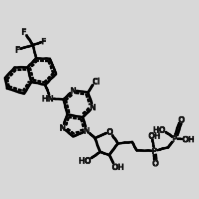 O=P(O)(O)CP(=O)(O)CCC1OC(n2cnc3c(Nc4ccc(C(F)(F)F)c5ccccc45)nc(Cl)nc32)C(O)C1O